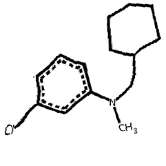 CN(CC1CCCCC1)c1cc[c]c(Cl)c1